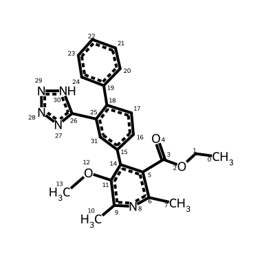 CCOC(=O)c1c(C)nc(C)c(OC)c1-c1ccc(-c2ccccc2)c(-c2nnn[nH]2)c1